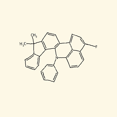 CC1(C)c2ccccc2-c2c1ccc1c2N(c2ccccc2)c2cccc3c(F)ccc-1c23